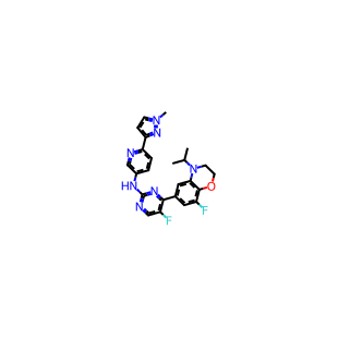 CC(C)N1CCOc2c(F)cc(-c3nc(Nc4ccc(-c5ccn(C)n5)nc4)ncc3F)cc21